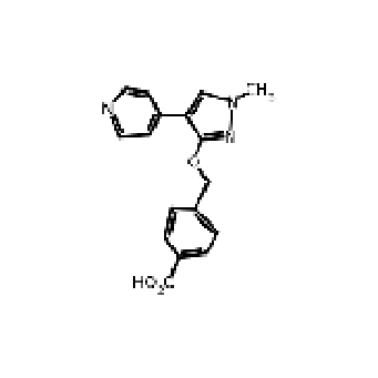 Cn1cc(-c2ccncc2)c(OCc2ccc(C(=O)O)cc2)n1